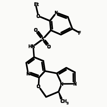 CCOc1ncc(F)cc1S(=O)(=O)Nc1cnc2c(c1)-c1ccnn1[C@@H](C)CO2